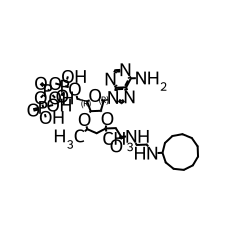 CC1CC(C)(CC(=O)NCCNC2CCCCCCCCCC2)OC2C(O1)[C@@H](COP(=O)(O)OP(=O)(O)OP(=O)(O)O)O[C@H]2n1cnc2c(N)ncnc21